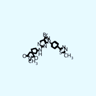 Cc1nnc(-c2ccc(-n3nc(Br)c4cnc(N[C@@H]5CCC6(CC(=O)N(C)C6=O)C5)nc43)cc2)s1